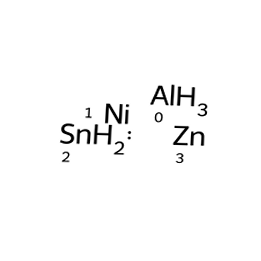 [AlH3].[Ni].[SnH2].[Zn]